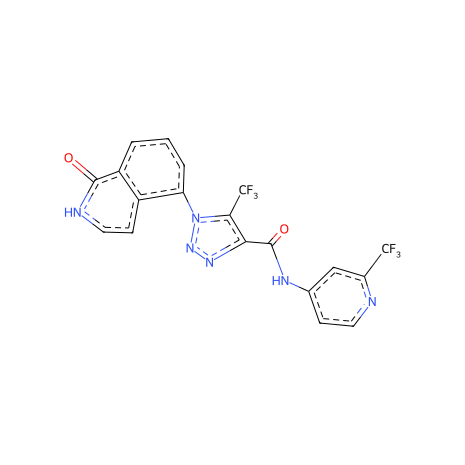 O=C(Nc1ccnc(C(F)(F)F)c1)c1nnn(-c2cccc3c(=O)[nH]ccc23)c1C(F)(F)F